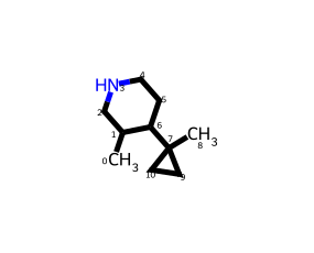 CC1CNCCC1C1(C)CC1